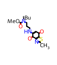 COC(=O)N(CCCNC1=CC(=O)c2sc(C)nc2C1=O)C(C)(C)C